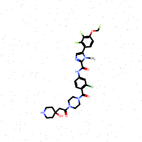 Cn1c(-c2ccc(OCF)c(F)c2F)cnc1C(=O)Nc1ccc(C(=O)N2CCN(C(=O)CC3(O)CCNCC3)CC2)c(Cl)c1